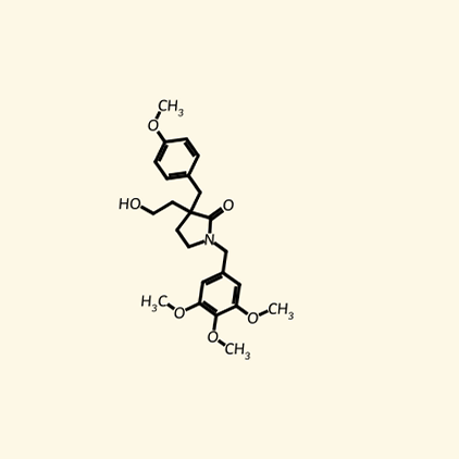 COc1ccc(CC2(CCO)CCN(Cc3cc(OC)c(OC)c(OC)c3)C2=O)cc1